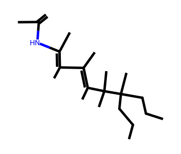 C=C(C)N/C(C)=C(C)/C(C)=C(\C)C(C)(C)C(C)(CCC)CCC